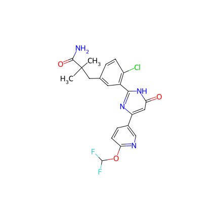 CC(C)(Cc1ccc(Cl)c(-c2nc(-c3ccc(OC(F)F)nc3)cc(=O)[nH]2)c1)C(N)=O